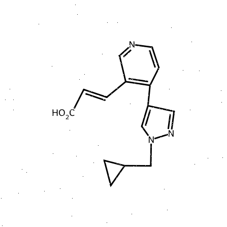 O=C(O)C=Cc1cnccc1-c1cnn(CC2CC2)c1